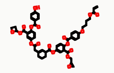 C=CC(=O)OCCCCOc1ccc(C(=O)Oc2ccc(OC(=O)C3C=C(CC(=O)Oc4ccc(OC(=O)c5ccc(O)cc5)c(C(=O)OC5CCO5)c4)CCC3)cc2C(=O)OCC2CO2)cc1